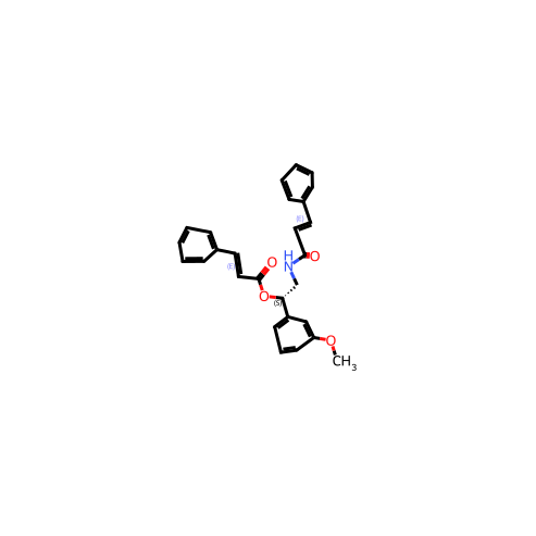 COc1cccc([C@@H](CNC(=O)/C=C/c2ccccc2)OC(=O)/C=C/c2ccccc2)c1